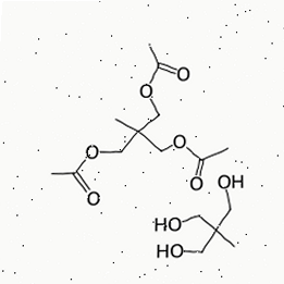 CC(=O)OCC(C)(COC(C)=O)COC(C)=O.CC(CO)(CO)CO